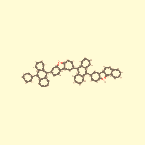 c1ccc(-c2c3ccccc3c(-c3ccc4c(c3)oc3ccc(-c5c6ccccc6c(-c6ccc7oc8c9ccccc9ccc8c7c6)c6ccccc56)cc34)c3ccccc23)cc1